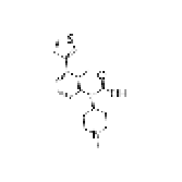 Cc1c(C(C(=O)O)=C2CCN(C)CC2)cccc1-c1ccsc1